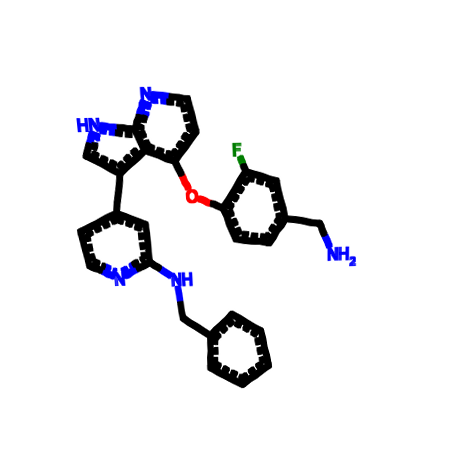 NCc1ccc(Oc2ccnc3[nH]cc(-c4ccnc(NCc5ccccc5)c4)c23)c(F)c1